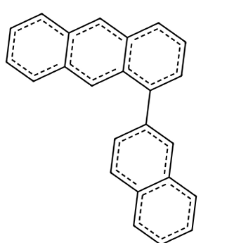 c1ccc2cc(-c3cccc4cc5ccccc5cc34)ccc2c1